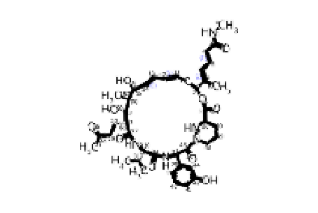 CNC(=O)/C=C/C=C(\C)[C@@H]1C/C=C/C=C/[C@H](O)[C@H](C)[C@@H](O)[C@@H](CCC(C)=O)C(=O)N[C@@H](C(C)C)C(=O)NC(c2cccc(O)c2)C(=O)N2CCCC(N2)C(=O)O1